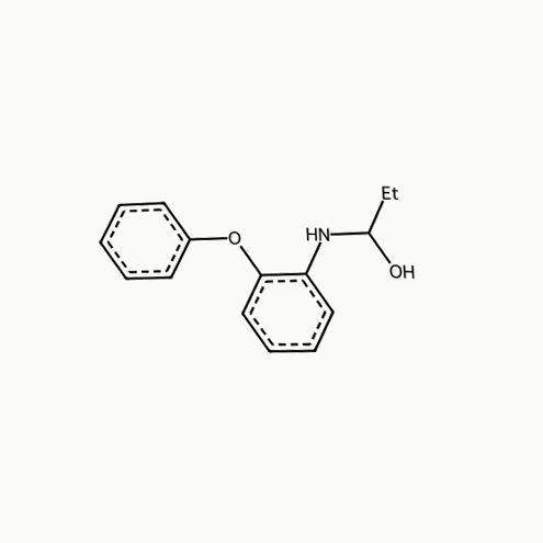 CCC(O)Nc1ccccc1Oc1ccccc1